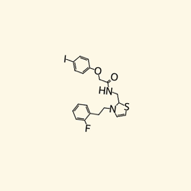 O=C(COc1ccc(I)cc1)NCC1SC=CN1CCc1ccccc1F